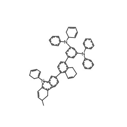 CC1C=Cc2c(c3ccc(-c4ccc(-c5cc(N(c6ccccc6)c6ccccc6)cc(N(c6ccccc6)C6C=CC=CC6)c5)c5c4C=CCC5)cc3n2C2=CC=CCC2)C1